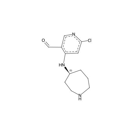 O=Cc1cnc(Cl)cc1N[C@H]1CCCNCC1